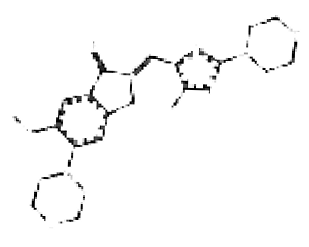 COc1cc2c(cc1N1CCOCC1)C/C(=C\c1sc(N3CCOCC3)nc1Cl)C2=O